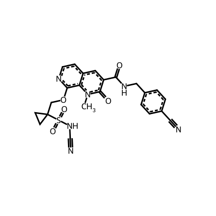 Cn1c(=O)c(C(=O)NCc2ccc(C#N)cc2)cc2ccnc(OCC3(S(=O)(=O)NC#N)CC3)c21